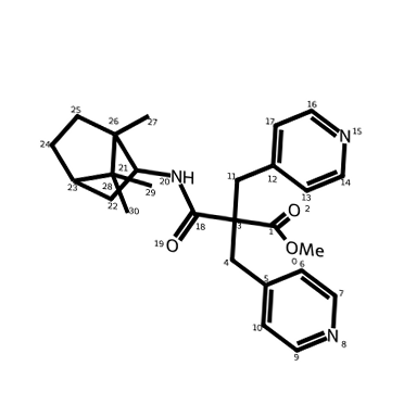 COC(=O)C(Cc1ccncc1)(Cc1ccncc1)C(=O)NC1CC2CCC1(C)C2(C)C